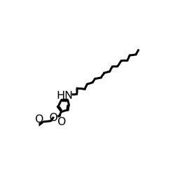 CCCCCCCCCCCCCCCCNc1ccc(C(=O)OCC2CO2)cc1